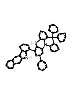 B1c2cccc3c2N(c2ccccc2C3(c2ccccc2)c2ccccc2)c2cc(-c3ccccc3)cc(-c3cccc4c3[nH]c3cc5ccccc5cc34)c21